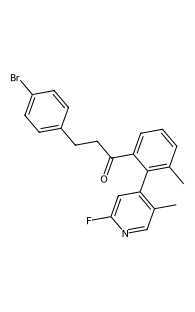 Cc1cnc(F)cc1-c1c(C)cccc1C(=O)CCc1ccc(Br)cc1